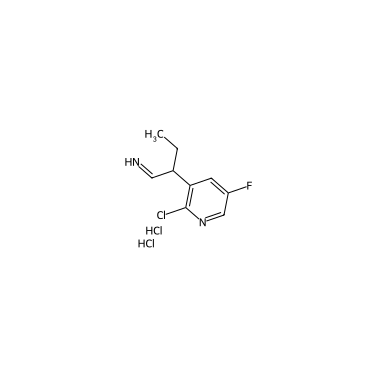 CCC(C=N)c1cc(F)cnc1Cl.Cl.Cl